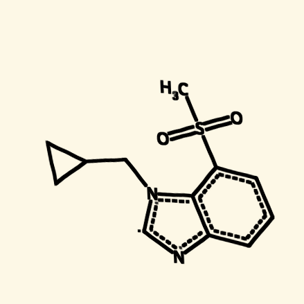 CS(=O)(=O)c1cccc2n[c]n(CC3CC3)c12